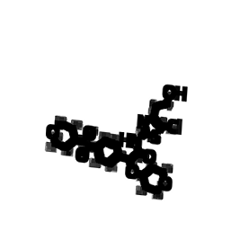 O=C(Nc1nc(CCO)c(Cl)s1)C(OC1CCOCC1)c1ccc(S(=O)(=O)C2CCOCC2)cc1